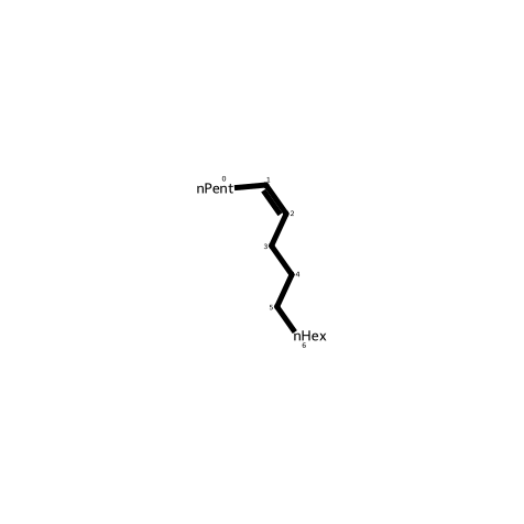 CCCCC/C=C\CCCCCCCCC